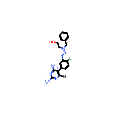 CCc1nc(N)nc(N)c1-c1ccc(Cl)c(/N=N/N(CCO)Cc2ccccc2)c1